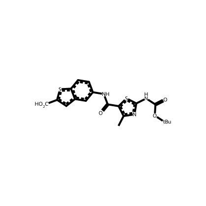 Cc1nc(NC(=O)OC(C)(C)C)sc1C(=O)Nc1ccc2sc(C(=O)O)cc2c1